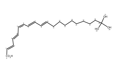 O=C(O)C=C/C=C/C=C\C=C\C=C\CCCCCCCCC(O)(O)O